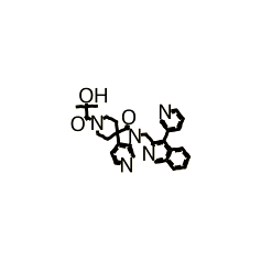 CC(C)(O)C(=O)N1CCC2(CC1)C(=O)N(Cc1ncc3ccccc3c1-c1cccnc1)c1cnccc12